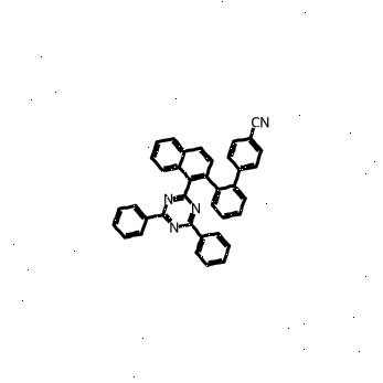 N#Cc1ccc(-c2ccccc2-c2ccc3ccccc3c2-c2nc(-c3ccccc3)nc(-c3ccccc3)n2)cc1